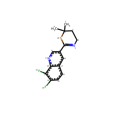 CC1(C)CCN=C(c2cnc3c(F)c(F)ccc3c2)S1